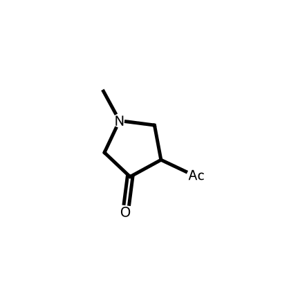 CC(=O)C1CN(C)CC1=O